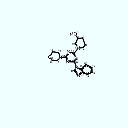 OC1CCCN(c2nc(N3CCOCC3)nc(-n3cnc4ccccc43)n2)C1